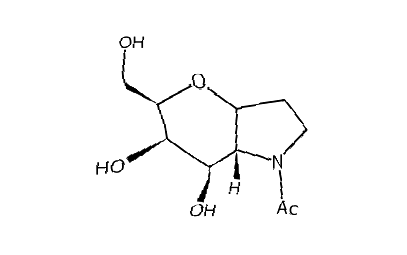 CC(=O)N1CCC2O[C@H](CO)[C@H](O)[C@H](O)[C@H]21